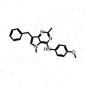 COc1ccc(Nc2nc(C)nc3c(Cc4ccccc4)cn(C)c23)cc1